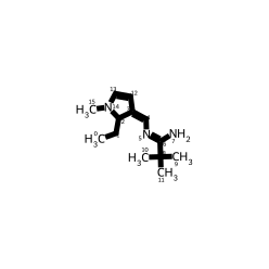 CCC1/C(=C\N=C(/N)C(C)(C)C)C=CN1C